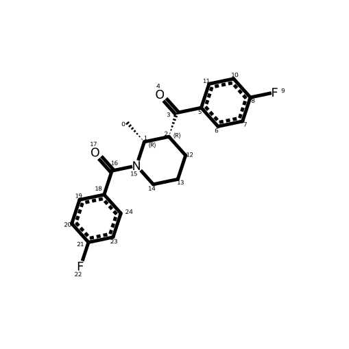 C[C@@H]1[C@H](C(=O)c2ccc(F)cc2)CCCN1C(=O)c1ccc(F)cc1